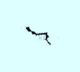 Nc1nc2ncc(CNc3ccc(C(=O)N[C@H](CCC(=O)NCCNC(=O)CN(CCN(CC(=O)O)CC(=O)N[C@@H](CSSCCOC=O)C(=O)O)CC(=O)O)C(=O)O)cc3)nc2c(=O)[nH]1